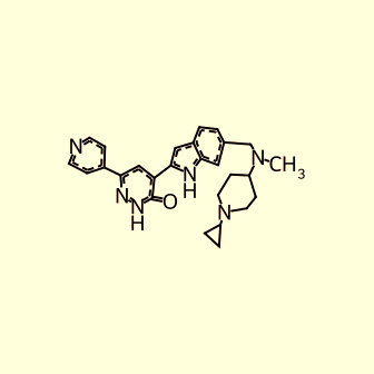 CN(Cc1ccc2cc(-c3cc(-c4ccncc4)n[nH]c3=O)[nH]c2c1)C1CCN(C2CC2)CC1